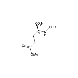 COC(=O)CC[C@H](NC=O)C(=O)O